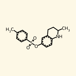 Cc1ccc(S(=O)(=O)Oc2ccc3c(c2)CCC(C)N3)cc1